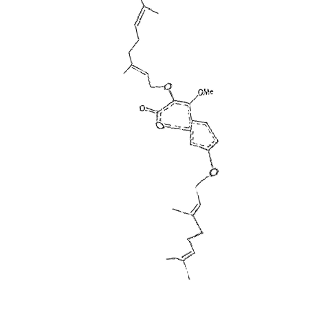 COc1c(OC/C=C(\C)CCC=C(C)C)c(=O)oc2cc(OC/C=C(\C)CCC=C(C)C)ccc12